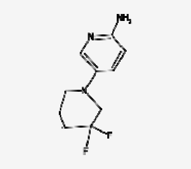 Nc1ccc(N2CC[CH]C(F)(F)C2)cn1